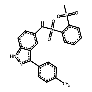 CS(=O)(=O)c1ccccc1S(=O)(=O)Nc1ccc2[nH]nc(-c3ccc(C(F)(F)F)cc3)c2c1